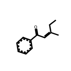 CCC(C)=CC(=O)c1ccccc1